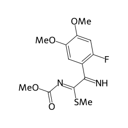 COC(=O)N=C(SC)C(=N)c1cc(OC)c(OC)cc1F